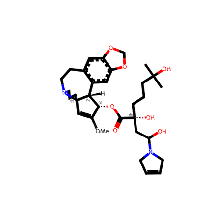 COC1=C[C@]23CCCN2CCc2cc4c(cc2[C@@H]3[C@@H]1OC(=O)[C@@](O)(CCCC(C)(C)O)CC(O)N1CC=CC1)OCO4